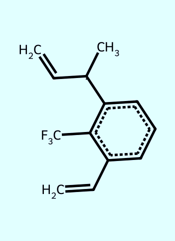 C=C[C](C)c1cccc(C=C)c1C(F)(F)F